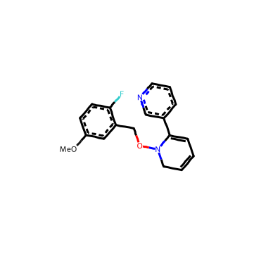 COc1ccc(F)c(CON2CC=CC=C2c2cccnc2)c1